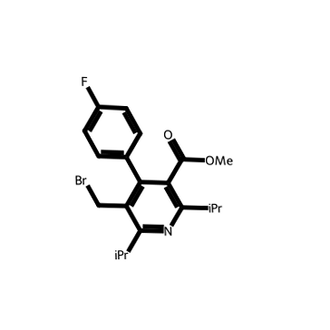 COC(=O)c1c(C(C)C)nc(C(C)C)c(CBr)c1-c1ccc(F)cc1